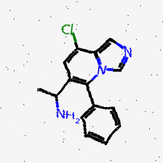 CC(N)c1cc(Cl)c2cncn2c1-c1ccccc1